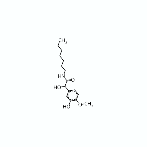 CCCCCCCNC(=O)C(O)c1ccc(OC)c(O)c1